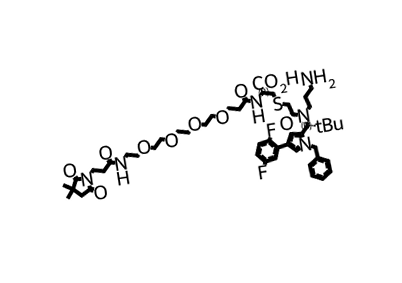 CC1(C)CC(=O)N(CCC(=O)NCCOCCOCCOCCOCCC(=O)N[C@@H](CSCC(=O)N(CCCN)[C@@H](c2cc(-c3cc(F)ccc3F)cn2Cc2ccccc2)C(C)(C)C)C(=O)O)C1=O